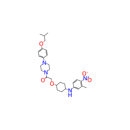 Cc1cc(NC2CCC(OCC(=O)N3CCN(c4ccc(OCC(C)C)cc4)CC3)CC2)ccc1[N+](=O)[O-]